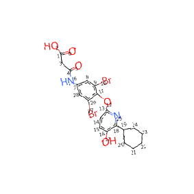 O=C(O)CC(=O)Nc1cc(Br)c(Oc2ccc(O)c(C3CCCCC3)n2)c(Br)c1